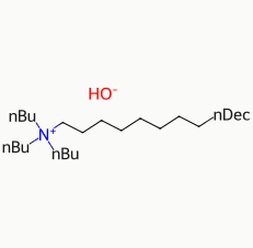 CCCCCCCCCCCCCCCCCC[N+](CCCC)(CCCC)CCCC.[OH-]